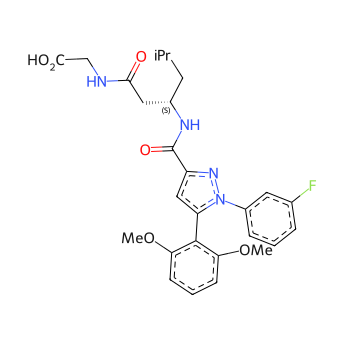 COc1cccc(OC)c1-c1cc(C(=O)N[C@H](CC(=O)NCC(=O)O)CC(C)C)nn1-c1cccc(F)c1